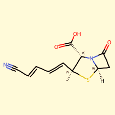 C[C@@]1(C=CC=CC#N)S[C@@H]2CC(=O)N2[C@H]1C(=O)O